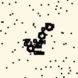 COc1ccc(OC(F)(F)F)cc1NC(=O)NC1CCC(Oc2ccncn2)CC1